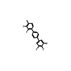 Cc1ccc(-c2ccc(-c3cc(F)c(F)c(F)c3)cc2)c(F)c1F